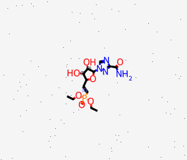 CCOP(=O)(/C=C/C1OC(n2cnc(C(N)=O)n2)[C@H](O)[C@@H]1O)OCC